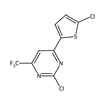 FC(F)(F)c1cc(-c2ccc(Cl)s2)nc(Cl)n1